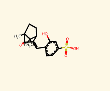 CC12CCC(C(=Cc3ccc(S(=O)(=O)O)cc3O)C1=O)C2(C)C